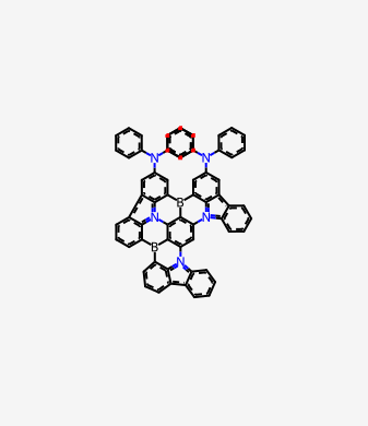 c1ccc(N(c2ccccc2)c2cc3c4c(c2)c2ccccc2n4-c2cc4c5c6c2B3c2cc(N(c3ccccc3)c3ccccc3)cc3c7cccc(c7n-6c23)B5c2cccc3c5ccccc5n-4c23)cc1